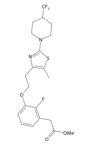 COC(=O)Cc1cccc(OCCc2nc(N3CCC(C(F)(F)F)CC3)sc2C)c1F